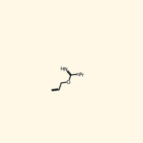 C=CCOC(=N)CCC